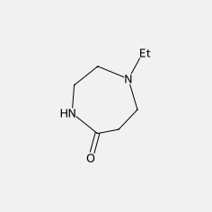 [CH2]CN1CCNC(=O)CC1